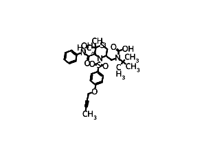 CC#CCOc1ccc(S(=O)(=O)N2C(CN(C(=O)O)C(C)(C)C)CSC(C)(C)[C@@H]2C(=O)N(O)c2ccccc2)cc1